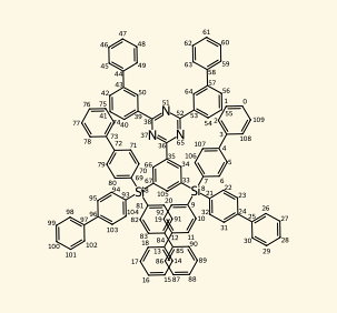 c1ccc(-c2ccc([Si](c3ccc(-c4ccccc4)cc3)(c3ccc(-c4ccccc4)cc3)c3cc(-c4nc(-c5cccc(-c6ccccc6)c5)nc(-c5cccc(-c6ccccc6)c5)n4)cc([Si](c4ccc(-c5ccccc5)cc4)(c4ccc(-c5ccccc5)cc4)c4ccc(-c5ccccc5)cc4)c3)cc2)cc1